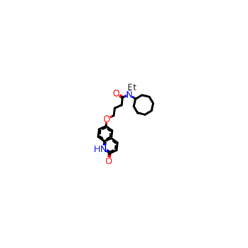 CCN(C(=O)CCCOc1ccc2[nH]c(=O)ccc2c1)C1CCCCCCC1